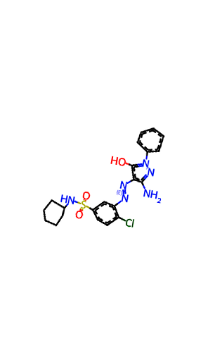 Nc1nn(-c2ccccc2)c(O)c1/N=N/c1cc(S(=O)(=O)NC2CCCCC2)ccc1Cl